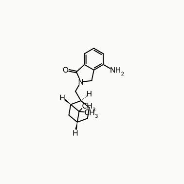 CC1(C)[C@@H]2CC[C@H](CN3Cc4c(N)cccc4C3=O)[C@H]1C2